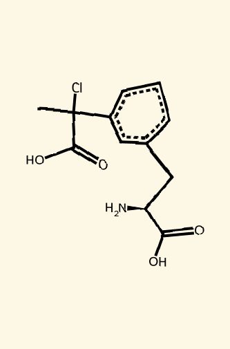 CC(Cl)(C(=O)O)c1cccc(C[C@H](N)C(=O)O)c1